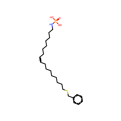 O=P(O)(O)NCCCCCCC/C=C\CCCCCCCCSCc1ccccc1